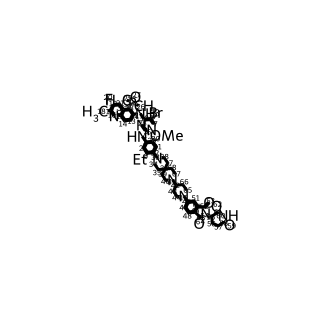 CCc1cc(Nc2ncc(Br)c(Nc3ccc4nc(C)c(F)cc4c3P(C)(C)=O)n2)c(OC)cc1N1CCC2(CC1)CCN(C1CCN(c3ccc4c(c3)C(=O)N(C3CCC(=O)NC3=O)C4=O)CC1)CC2